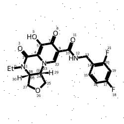 CCN1C(=O)c2c(O)c(=O)c(C(=O)NCc3ccc(F)cc3F)cn2[C@@H]2COC[C@@H]21